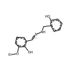 CCOc1cccc(/C=N/NCc2ccccc2O)c1O